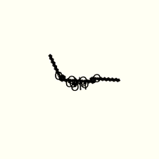 CCCCCCCCCCCCOc1ccc(C=CC(=O)OCCN(CCOC(=O)C=Cc2ccc(OCCCCCCCCCCCC)cc2)CC(=O)O)cc1